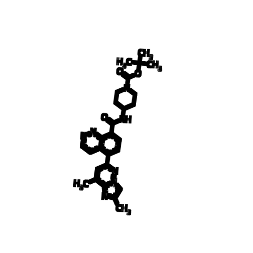 Cc1cn2nc(-c3ccc(C(=O)NC4CCN(C(=O)OC(C)(C)C)CC4)c4nnccc34)cc(C)c2n1